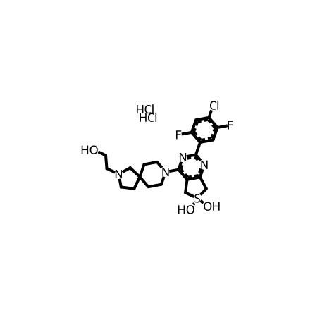 Cl.Cl.OCCN1CCC2(CCN(c3nc(-c4cc(F)c(Cl)cc4F)nc4c3CS(O)(O)C4)CC2)C1